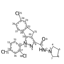 O=C(NN1CCCC1)c1nn(-c2ccc(Cl)cc2Cl)c2c1Cc1cc(Cl)ccc1-2